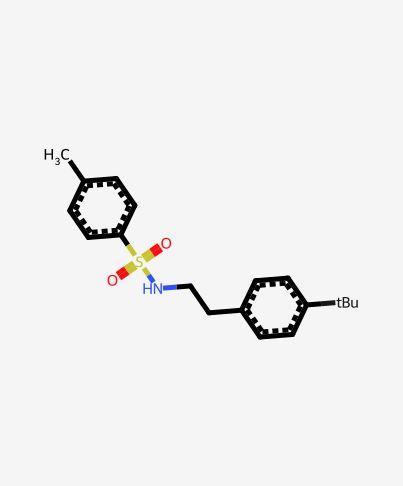 Cc1ccc(S(=O)(=O)NCCc2ccc(C(C)(C)C)cc2)cc1